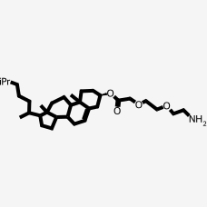 CC(C)CCCC(C)C1CCC2C3CC=C4C[C@H](OC(=O)COCCOCCN)CCC4(C)C3CCC12C